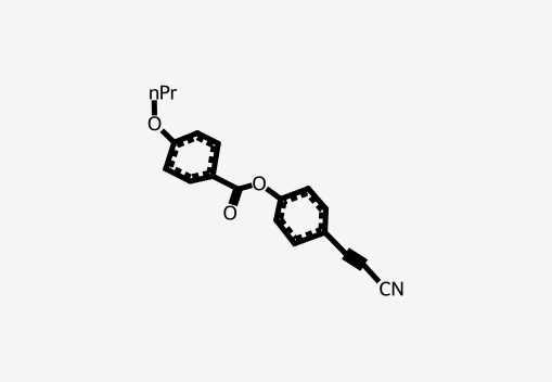 CCCOc1ccc(C(=O)Oc2ccc(C#CC#N)cc2)cc1